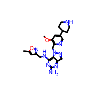 COc1cc(C2CCNCC2)cnc1Cn1ncc2nc(N)nc(NCc3cc(C)on3)c21